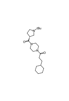 CC(C)(C)N1CC[C@H](C(=O)N2CCN(C(=O)CCC3CCCCC3)CC2)C1